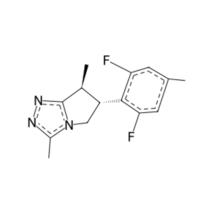 Cc1cc(F)c([C@@H]2Cn3c(C)nnc3[C@H]2C)c(F)c1